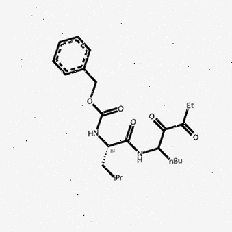 CCCCC(NC(=O)[C@H](CC(C)C)NC(=O)OCc1ccccc1)C(=O)C(=O)CC